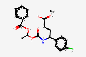 CC(OC(=O)NC(CCC(=O)[O-])c1ccc(Cl)cc1)OC(=O)c1ccccc1.[Na+]